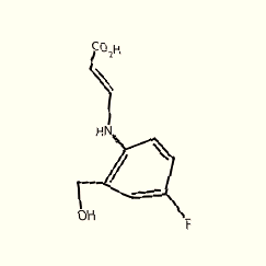 O=C(O)C=CNc1ccc(F)cc1CO